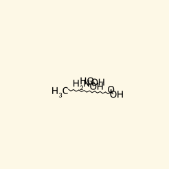 CCCCCCCCCCCCCCCCCC(=O)O.NCC(O)(O)O